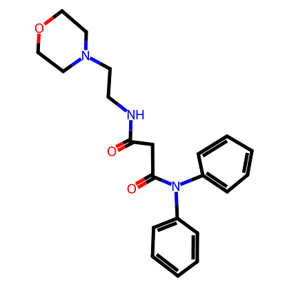 O=C(CC(=O)N(c1ccccc1)c1ccccc1)NCCN1CCOCC1